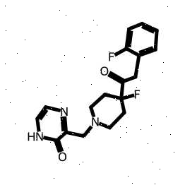 O=C(Cc1ccccc1F)C1(F)CCN(Cc2ncc[nH]c2=O)CC1